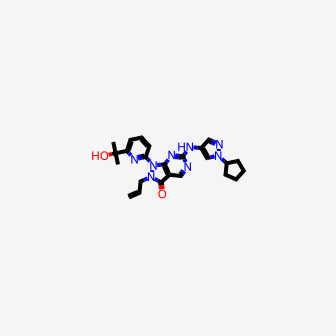 C=CCn1c(=O)c2cnc(Nc3cnn(C4CCCC4)c3)nc2n1-c1cccc(C(C)(C)O)n1